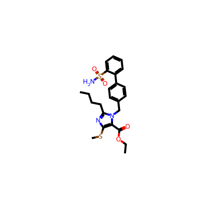 CCCCc1nc(SC)c(C(=O)OCC)n1Cc1ccc(-c2ccccc2S(N)(=O)=O)cc1